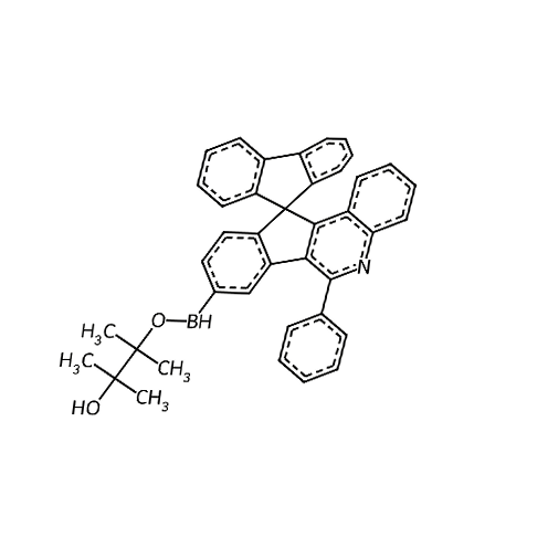 CC(C)(O)C(C)(C)OBc1ccc2c(c1)-c1c(-c3ccccc3)nc3ccccc3c1C21c2ccccc2-c2ccccc21